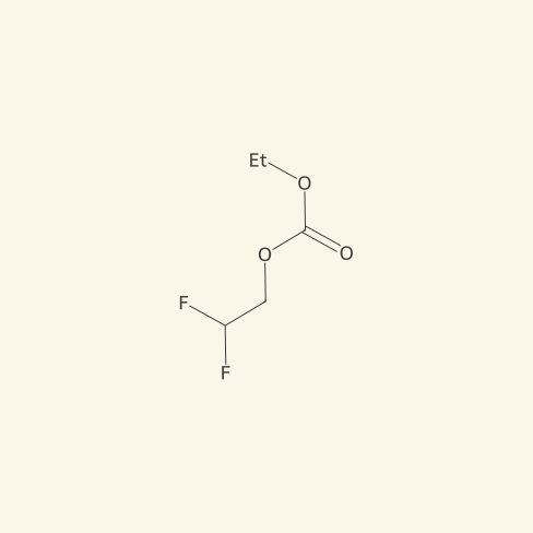 CCOC(=O)OCC(F)F